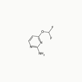 Nc1nccc(OC(F)F)n1